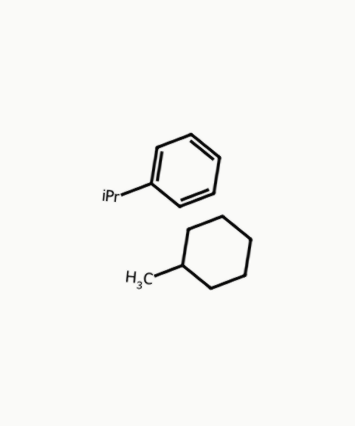 CC(C)c1ccccc1.CC1CCCCC1